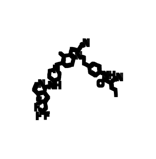 CC/C=C(\C#N)C(=O)Nc1ccc(CCn2c(C#N)cc3c(C)c(CN4CCC(Nc5nccc6sc(CC(F)(F)F)cc56)CC4)ccc32)cc1